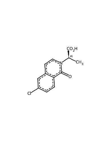 C[C@H](C(=O)O)n1ccc2cc(Cl)ccc2c1=O